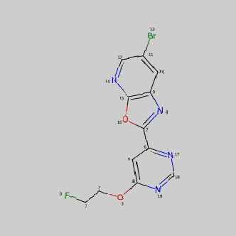 FCCOc1cc(-c2nc3cc(Br)cnc3o2)ncn1